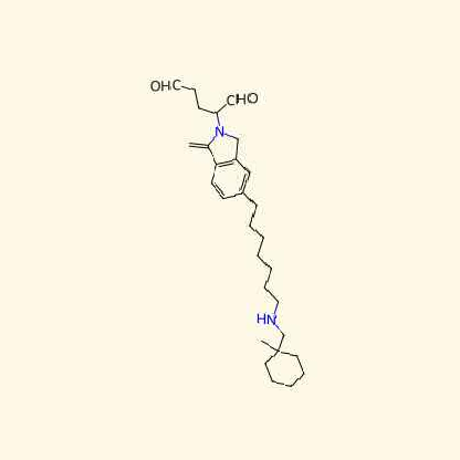 C=C1c2ccc(CCCCCCCNCC3(C)CCCCC3)cc2CN1C(C=O)CCC=O